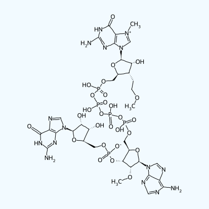 COCC[C@H]1[C@@H](O)[C@H](n2c[n+](C)c3c(=O)[nH]c(N)nc32)O[C@@H]1COP(=O)(O)OP(=O)(O)OP(=O)(O)OP(=O)(O)OC[C@H]1O[C@@H](n2cnc3c(N)ncnc32)[C@H](OC)[C@@H]1OP(=O)([O-])OC[C@H]1O[C@@H](n2cnc3c(=O)[nH]c(N)nc32)[C@H](O)[C@@H]1O